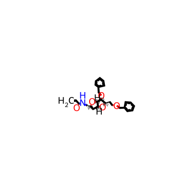 C=CC(=O)NC[C@H]1C[C@@H]2O[C@H](CCOCc3ccccc3)[C@@H](OCc3ccccc3)[C@@H]2O1